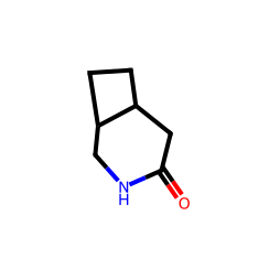 O=C1CC2CCC2CN1